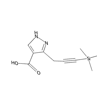 C[Si](C)(C)C#CCc1n[nH]cc1C(=O)O